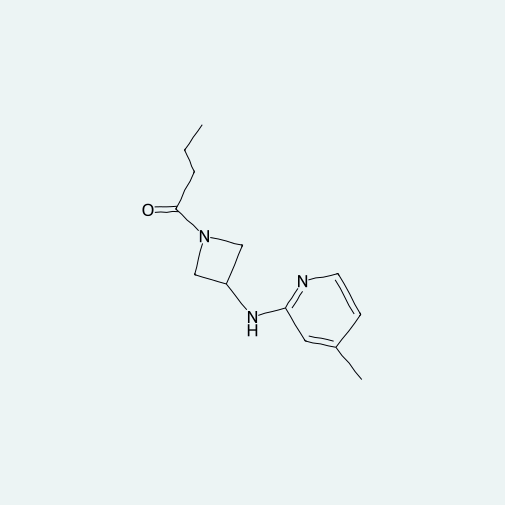 CCCC(=O)N1CC(Nc2cc(C)ccn2)C1